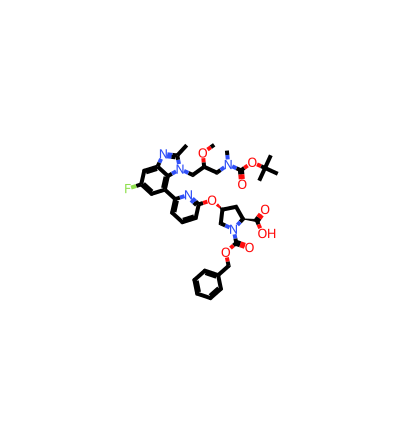 COC(CN(C)C(=O)OC(C)(C)C)Cn1c(C)nc2cc(F)cc(-c3cccc(O[C@H]4C[C@@H](C(=O)O)N(C(=O)OCc5ccccc5)C4)n3)c21